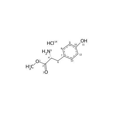 COC(=O)[C@H](N)Cc1ccc(O)cc1.Cl